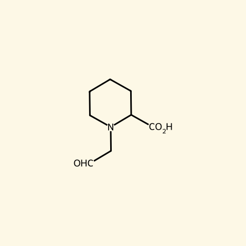 O=CCN1CCCCC1C(=O)O